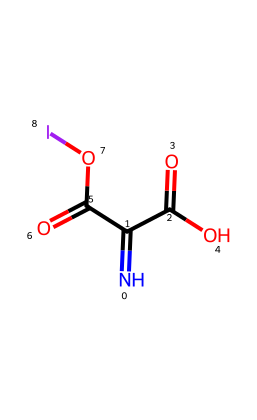 N=C(C(=O)O)C(=O)OI